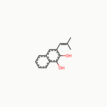 CC(C)=Cc1cc2ccccc2c(O)c1O